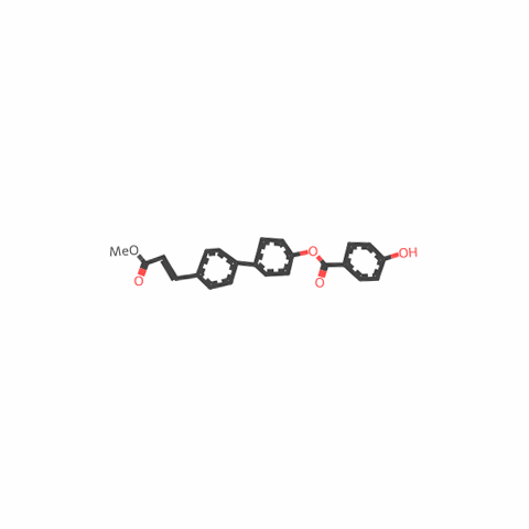 COC(=O)/C=C/c1ccc(-c2ccc(OC(=O)c3ccc(O)cc3)cc2)cc1